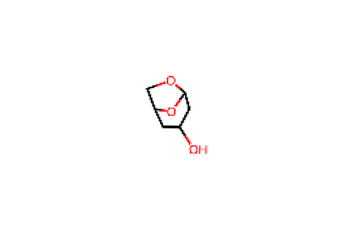 OC1CC2COC(C1)O2